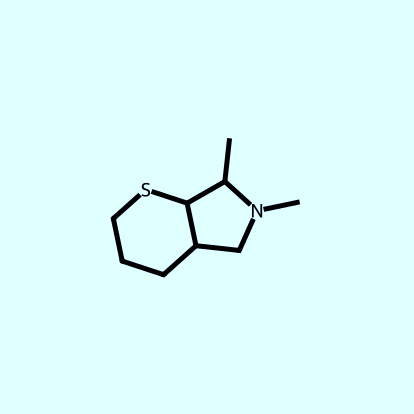 CC1C2SCCCC2CN1C